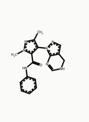 Cc1nn(C)c(C(=O)Nc2ccccc2)c1-n1ncc2c1N=CNC2